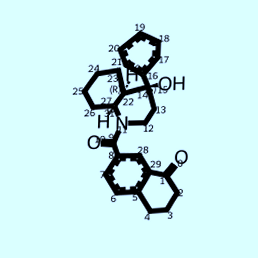 O=C1CCCc2ccc(C(=O)N3CC[C@@](O)(c4ccccc4)[C@@H]4CCCC[C@@H]43)cc21